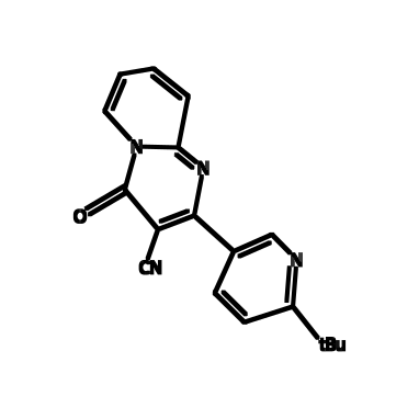 CC(C)(C)c1ccc(-c2nc3ccccn3c(=O)c2C#N)cn1